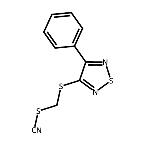 N#CSCSc1nsnc1-c1ccccc1